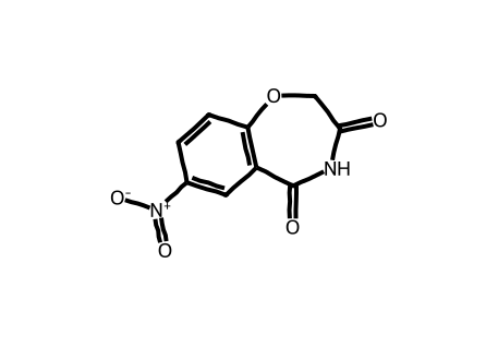 O=C1COc2ccc([N+](=O)[O-])cc2C(=O)N1